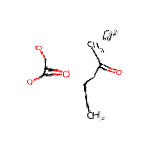 CCC(C)=O.O=C([O-])[O-].[Ca+2]